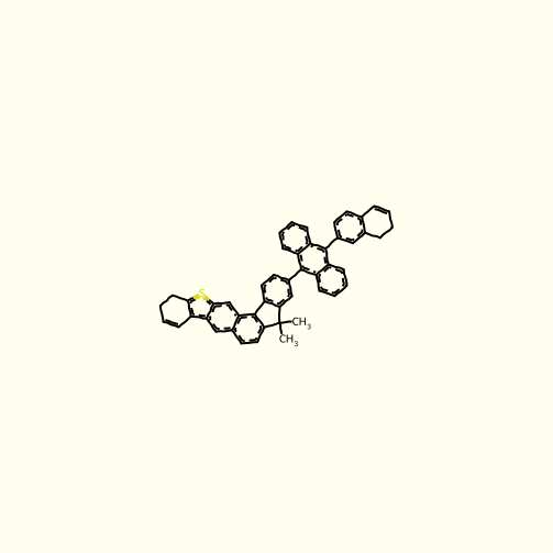 CC1(C)c2cc(-c3c4ccccc4c(-c4ccc5c(c4)CCC=C5)c4ccccc34)ccc2-c2c1ccc1cc3c4c(sc3cc21)CCC=C4